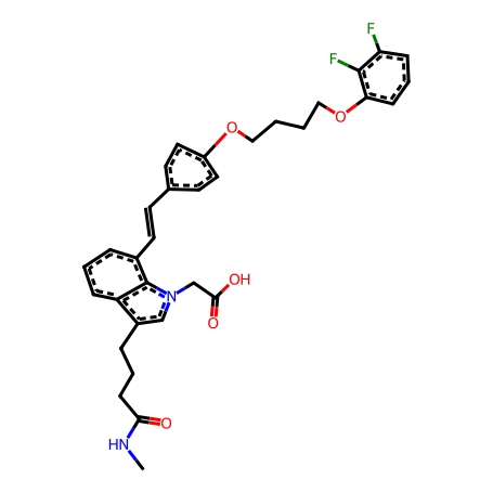 CNC(=O)CCCc1cn(CC(=O)O)c2c(/C=C/c3ccc(OCCCCOc4cccc(F)c4F)cc3)cccc12